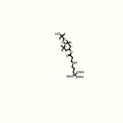 CO[Si](CCCNCCC(=O)OC1CC(C)(C)N(OCC(C)(C)O)C(C)(C)C1)(OC)OC